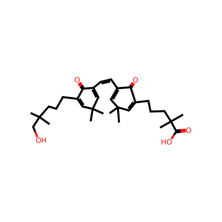 CC1(C)C=C(/C=C\C2=CC(C)(C)C=C(CCCC(C)(C)C(=O)O)C2=O)C(=O)C(CCCC(C)(C)CO)=C1